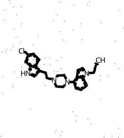 C#CCn1ccc2c(N3CCN(CCc4c[nH]c5cc(Cl)ccc45)CC3)cccc21